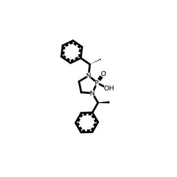 C[C@@H](c1ccccc1)N1CCN([C@@H](C)c2ccccc2)P1(=O)O